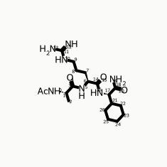 CC(=O)N[C@@H](C)C(=O)N[C@@H](CCCNC(=N)N)C(=O)N[C@H](C(N)=O)C1CCCCC1